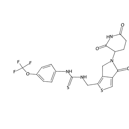 O=C1CCC(N2Cc3c(csc3CNC(=S)Nc3ccc(OC(F)(F)F)cc3)C2=O)C(=O)N1